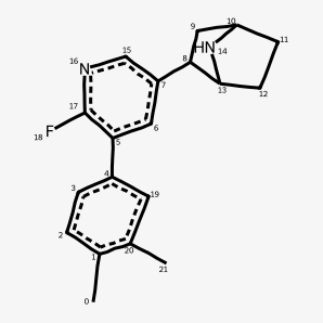 Cc1ccc(-c2cc(C3CC4CCC3N4)cnc2F)cc1C